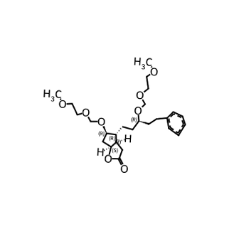 COCCOCO[C@@H](CCc1ccccc1)CC[C@@H]1[C@H]2CC(=O)O[C@H]2C[C@H]1OCOCCOC